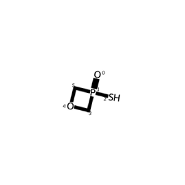 O=P1(S)COC1